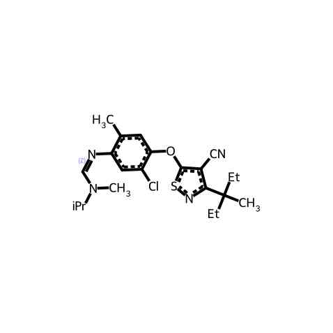 CCC(C)(CC)c1nsc(Oc2cc(C)c(/N=C\N(C)C(C)C)cc2Cl)c1C#N